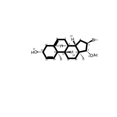 CC(=O)O[C@H]1[C@H](Br)C[C@H]2[C@@H]3CC=C4C[C@@H](O)C=C[C@]4(C)[C@H]3CC[C@@]21C